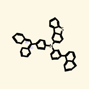 C1=CC/C(=C(\C=C2\C=CC=CC2)c2ccc(N(c3cccc(-c4cccc5ccccc45)c3)c3ccc4sc5ccccc5c4c3)cc2)C=C1